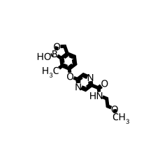 COCCNC(=O)c1cnc(Oc2ccc3c(c2C)B(O)OC3)cn1